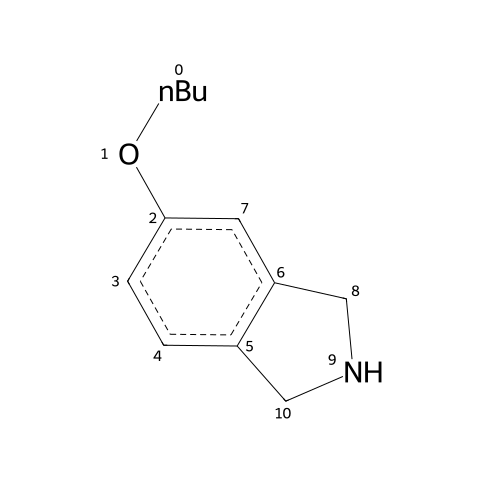 CCCCOc1ccc2c(c1)CNC2